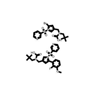 CC(C)(C)CN(Cc1cc(Br)n(S(=O)(=O)c2cccnc2)c1)C(=O)O.COc1cccc(-c2cc(CN(CC(C)(C)C)C(=O)O)cn2S(=O)(=O)c2cccnc2)c1F